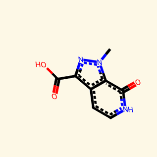 Cn1nc(C(=O)O)c2cc[nH]c(=O)c21